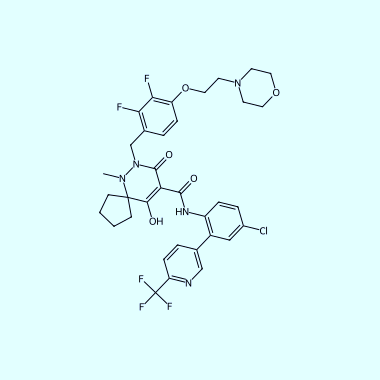 CN1N(Cc2ccc(OCCN3CCOCC3)c(F)c2F)C(=O)C(C(=O)Nc2ccc(Cl)cc2-c2ccc(C(F)(F)F)nc2)=C(O)C12CCCC2